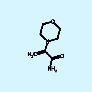 C=C(C(N)=O)N1CCOCC1